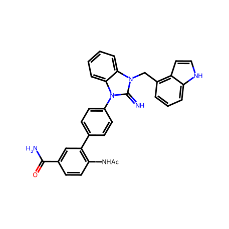 CC(=O)Nc1ccc(C(N)=O)cc1-c1ccc(-n2c(=N)n(Cc3cccc4[nH]ccc34)c3ccccc32)cc1